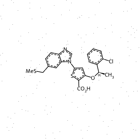 CSCc1ccc2ncn(-c3cc(O[C@H](C)c4ccccc4Cl)c(C(=O)O)s3)c2c1